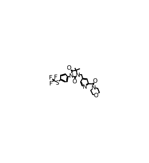 CC1(C)C(=O)N(c2ccc(SC(F)(F)F)cc2)C(=O)N1Cc1ccnc(C(=O)N2CCOCC2)c1